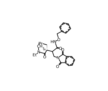 CCN(C)C(=O)[C@H](CC(C)C)C(CN1C(=O)c2ccccc2C1=O)C(=O)NOCc1ccccc1